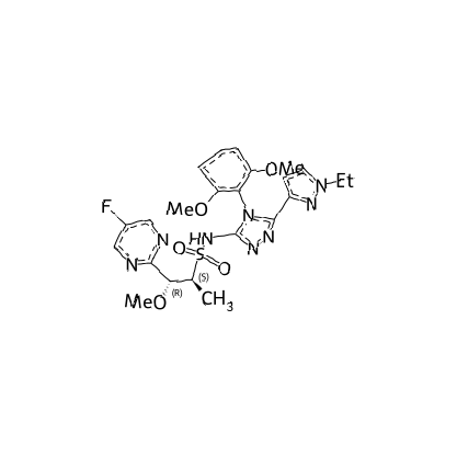 CCn1ccc(-c2nnc(NS(=O)(=O)[C@@H](C)[C@H](OC)c3ncc(F)cn3)n2-c2c(OC)cccc2OC)n1